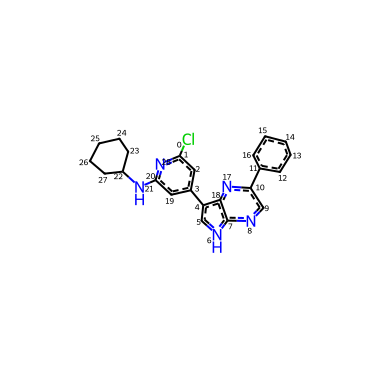 Clc1cc(-c2c[nH]c3ncc(-c4ccccc4)nc23)cc(NC2CCCCC2)n1